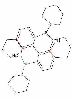 Oc1cccc(P(C2CCCCC2)C2CCCCC2)c1-c1c(O)cccc1P(C1CCCCC1)C1CCCCC1